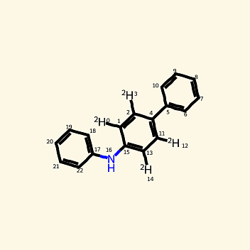 [2H]c1c([2H])c(-c2ccccc2)c([2H])c([2H])c1Nc1ccccc1